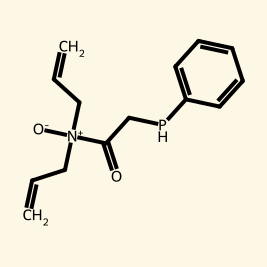 C=CC[N+]([O-])(CC=C)C(=O)CPc1ccccc1